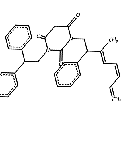 C=C/C=C\C=C(/C)C(CN1C(=O)CC(=O)N(CC(c2ccccc2)c2ccccc2)C1=O)c1ccccc1